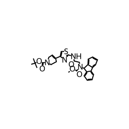 COC(=O)N(CC(=O)Nc1nc(C2=CCN(C(=O)OC(C)(C)C)CC2)cs1)C1c2ccccc2-c2ccccc21